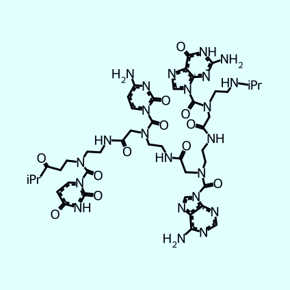 CC(C)NCCN(CC(=O)NCCN(CC(=O)NCCN(CC(=O)NCCN(CCC(=O)C(C)C)C(=O)n1ccc(=O)[nH]c1=O)C(=O)n1ccc(N)nc1=O)C(=O)n1cnc2c(N)ncnc21)C(=O)n1cnc2c(=O)[nH]c(N)nc21